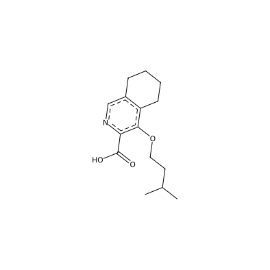 CC(C)CCOc1c(C(=O)O)ncc2c1CCCC2